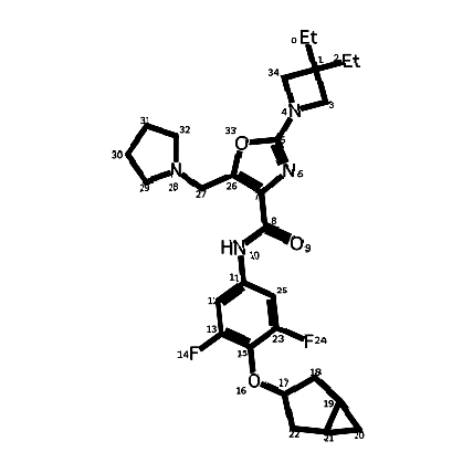 CCC1(CC)CN(c2nc(C(=O)Nc3cc(F)c(OC4CC5CC5C4)c(F)c3)c(CN3CCCC3)o2)C1